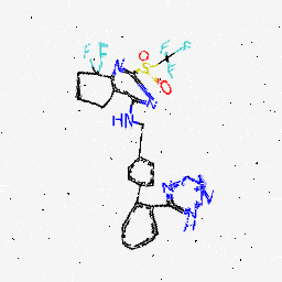 O=S(=O)(c1nc(NCc2ccc(-c3ccccc3-c3nnn[nH]3)cc2)c2c(n1)C(F)(F)CCC2)C(F)(F)F